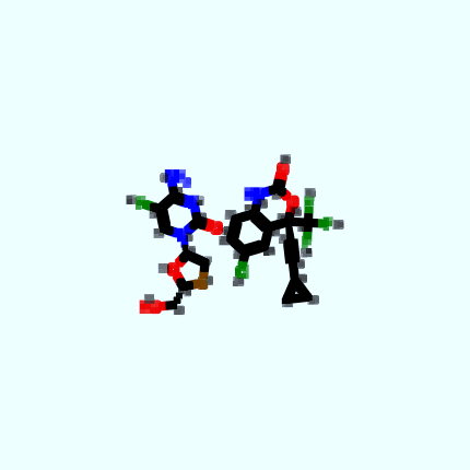 Nc1nc(=O)n([C@@H]2CS[C@H](CO)O2)cc1F.O=C1Nc2ccc(Cl)cc2[C@@](C#CC2CC2)(C(F)(F)F)O1